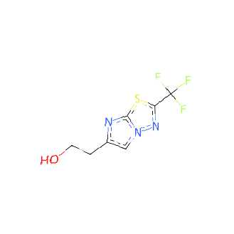 OCCc1cn2nc(C(F)(F)F)sc2n1